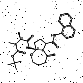 C[C@@H](C(=O)N[C@@]12CCC(C(=O)Nc3cccc4ccccc34)N1C(=O)CCCO2)N(C)C(=O)OC(C)(C)C